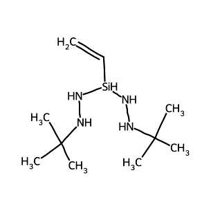 C=C[SiH](NNC(C)(C)C)NNC(C)(C)C